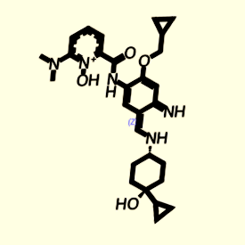 CN(C)c1cccc(C(=O)NC2=C/C(=C/N[C@H]3CC[C@@](O)(C4CC4)CC3)C(=N)C=C2OCC2CC2)[n+]1O